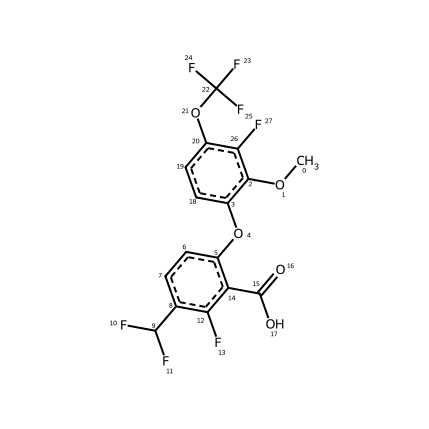 COc1c(Oc2ccc(C(F)F)c(F)c2C(=O)O)ccc(OC(F)(F)F)c1F